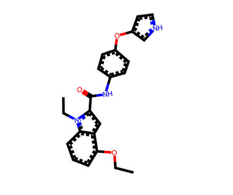 CCOc1cccc2c1cc(C(=O)Nc1ccc(Oc3cc[nH]c3)cc1)n2CC